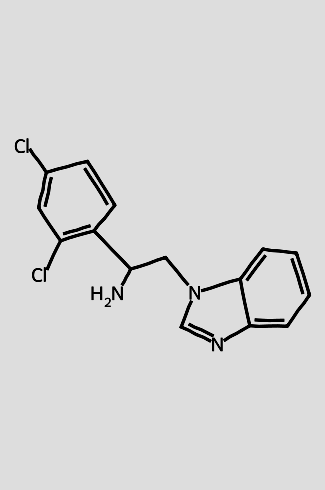 NC(Cn1cnc2ccccc21)c1ccc(Cl)cc1Cl